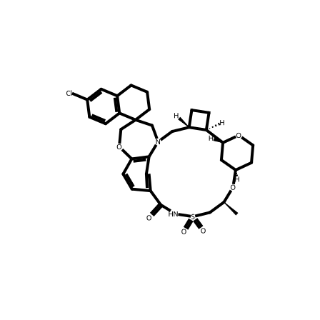 C[C@H]1CS(=O)(=O)NC(=O)c2ccc3c(c2)N(C[C@@H]2CC[C@H]2[C@H]2C[C@@H](CCO2)O1)CC1(CCCc2cc(Cl)ccc21)CO3